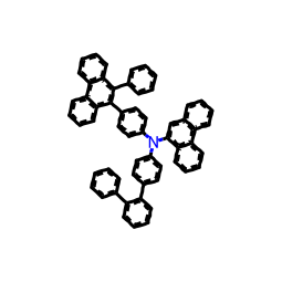 c1ccc(-c2ccccc2-c2ccc(N(c3ccc(-c4c(-c5ccccc5)c5ccccc5c5ccccc45)cc3)c3cc4ccccc4c4ccccc34)cc2)cc1